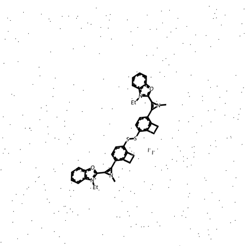 CC[n+]1c(C2=C(c3ccc(SSc4ccc(C5=C(c6oc7ccccc7[n+]6CC)N5C)c5c4CC5)c4c3CC4)N2C)oc2ccccc21.[I-].[I-]